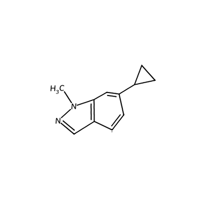 Cn1ncc2[c]cc(C3CC3)cc21